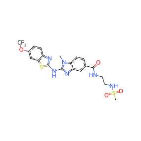 Cn1c(Nc2nc3ccc(OC(F)(F)F)cc3s2)nc2cc(C(=O)NCCNS(C)(=O)=O)ccc21